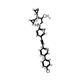 CC(CNc1ccc(C#Cc2ccc(-c3ccc(Cl)cc3)cn2)cn1)N(C1CC1)C1CC1